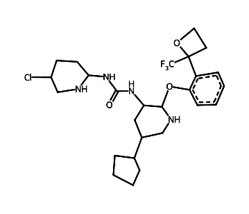 O=C(NC1CCC(Cl)CN1)NC1CC(C2CCCC2)CNC1Oc1ccccc1C1(C(F)(F)F)CCO1